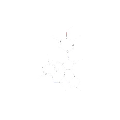 COc1c(Cl)cc(N2C(=O)C3C4CC(C)CN4C4(C(=O)Nc5c(Cl)cc(Cl)cc54)C3C2=O)cc1Cl